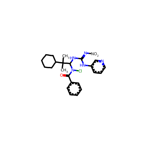 CC(C)(C1CCCCC1)C(NC(=N[N+](=O)[O-])Nc1cccnc1)N(Cl)C(=O)c1ccccc1